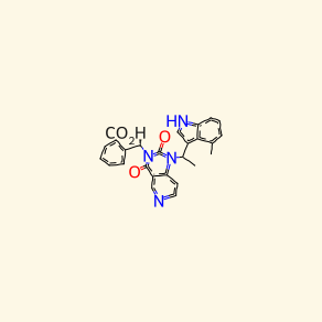 Cc1cccc2[nH]cc(C(C)n3c(=O)n([C@H](C(=O)O)c4ccccc4)c(=O)c4cnccc43)c12